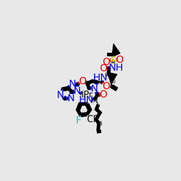 C=CCCCCC[C@H](Nc1ccc(F)c(C(F)(F)F)c1)C(=O)N1C[C@H](Oc2nc3cncnc3n2C(C)C)C[C@H]1C(=O)N[C@]1(C(=O)NS(=O)(=O)C2(C)CC2)C[C@H]1C=C